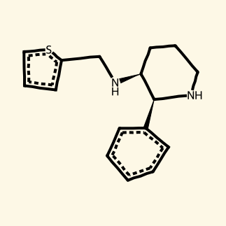 c1ccc([C@@H]2NCCC[C@@H]2NCc2cccs2)cc1